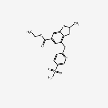 CCOC(=O)c1cc(Oc2ccc(S(C)(=O)=O)cn2)c2c(c1)OC(C)C2